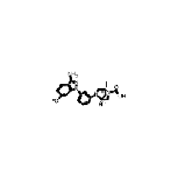 COc1ccc2c(N)nn(-c3cccc(N4C[C@@H]5C[C@H]4CN5C(=O)O)c3)c2c1